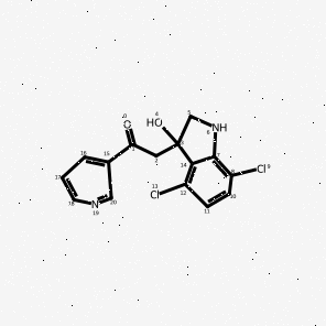 O=C(CC1(O)CNc2c(Cl)ccc(Cl)c21)c1cccnc1